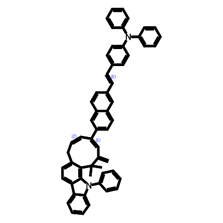 C=C1/C=C(c2ccc3cc(/C=C/c4ccc(N(c5ccccc5)c5ccccc5)cc4)ccc3c2)\C=C/Cc2ccc3c4ccccc4n(-c4ccccc4)c3c2C1(C)C